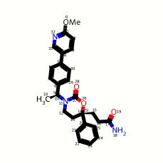 COc1ccc(-c2ccc([C@H](C)N3CC[C@@](CCC(N)=O)(c4ccccc4)OC3=O)cc2)cn1